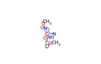 CCOc1ccccc1/C=C/C(=O)NC1SC2=C(CCN(C(=O)COC)C2)C1C#N